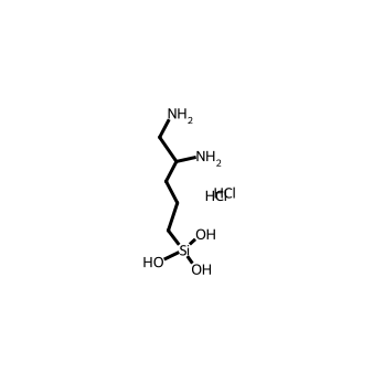 Cl.Cl.NCC(N)CCC[Si](O)(O)O